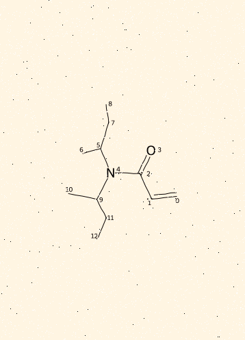 C=[C]C(=O)N(C(C)CC)C(C)CC